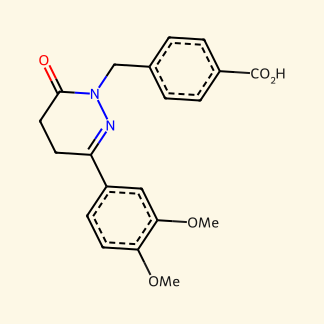 COc1ccc(C2=NN(Cc3ccc(C(=O)O)cc3)C(=O)CC2)cc1OC